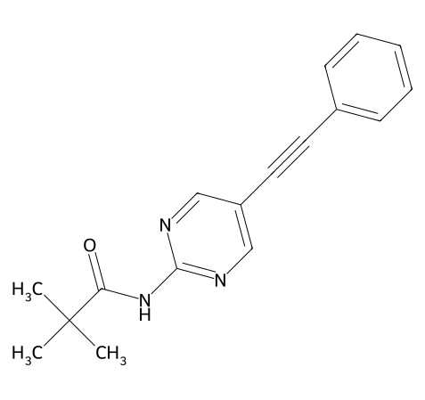 CC(C)(C)C(=O)Nc1ncc(C#Cc2ccccc2)cn1